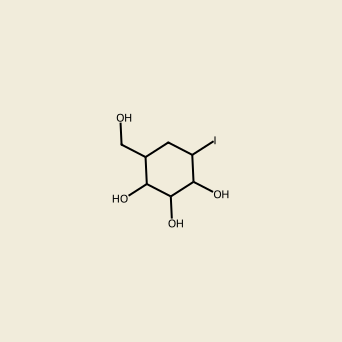 OCC1CC(I)C(O)C(O)C1O